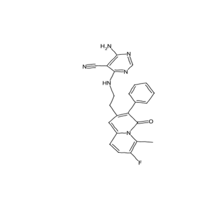 Cc1c(F)ccc2cc(CCNc3ncnc(N)c3C#N)c(-c3ccccc3)c(=O)n12